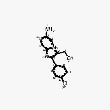 Nc1cn2c(CO)c(-c3ccc(Cl)cc3)nc2cn1